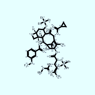 CC[Si](CC)(CC)OC1C[C@H]2OC[C@@]2(OC(C)=O)[C@H]2[C@H](OC(=O)c3cccc(OC(F)(F)F)c3)[C@]3(O)C[C@H](OC(=O)[C@H](O[Si](C(C)C)(C(C)C)C(C)C)[C@H](C=C(C)C)NC(=O)OC(C)(C)C)C(C)=C([C@@H](OC(=O)C4CC4)C(=O)[C@]12C)C3(C)C